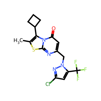 Cc1sc2nc(Cn3nc(Cl)cc3C(F)(F)F)cc(=O)n2c1C1CCC1